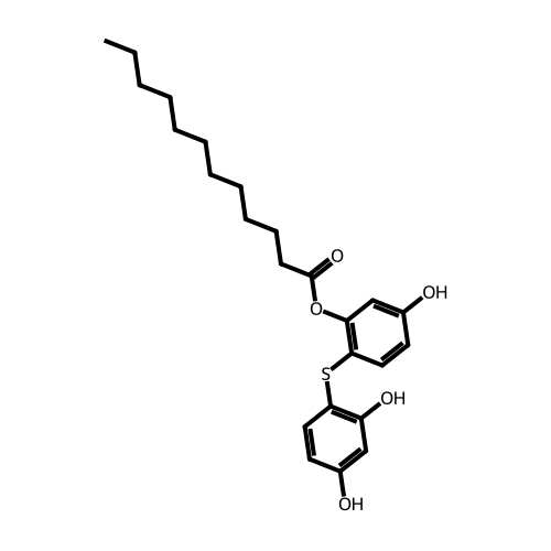 CCCCCCCCCCCC(=O)Oc1cc(O)ccc1Sc1ccc(O)cc1O